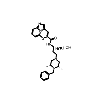 C[C@@H]1CN(CCCNC(=O)C2=Cc3cnc4cccc(n34)S2)C[C@H](C)N1Cc1ccccc1.Cl.Cl.Cl